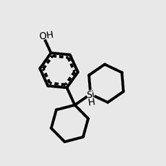 Oc1ccc(C2([SiH]3CCCCC3)CCCCC2)cc1